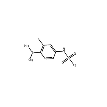 CCS(=O)(=O)Nc1ccc(B(O)O)c(C)c1